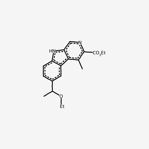 CCOC(=O)c1ncc2[nH]c3ccc(C(C)OCC)cc3c2c1C